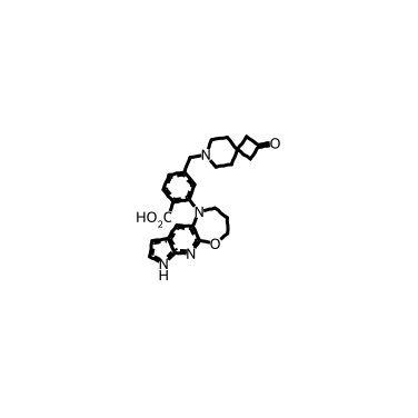 O=C1CC2(CCN(Cc3ccc(C(=O)O)c(N4CCCOc5nc6[nH]ccc6cc54)c3)CC2)C1